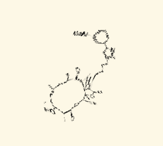 CC[C@H]1OC(=O)[C@H](C)[C@@H](O)[C@H](C)/C=C(/C)C[C@@H](C)C(=O)[C@H](C)[C@@H]2N(CCCCn3cc(-c4cccc(NC)c4)nn3)C(=O)O[C@@]21C